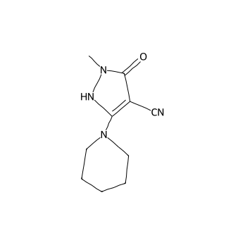 Cn1[nH]c(N2CCCCC2)c(C#N)c1=O